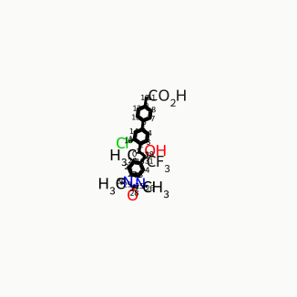 C[C@H](c1ccc(-c2ccc(CC(=O)O)cc2)cc1Cl)[C@@](O)(c1ccc2c(c1)n(C)c(=O)n2C)C(F)(F)F